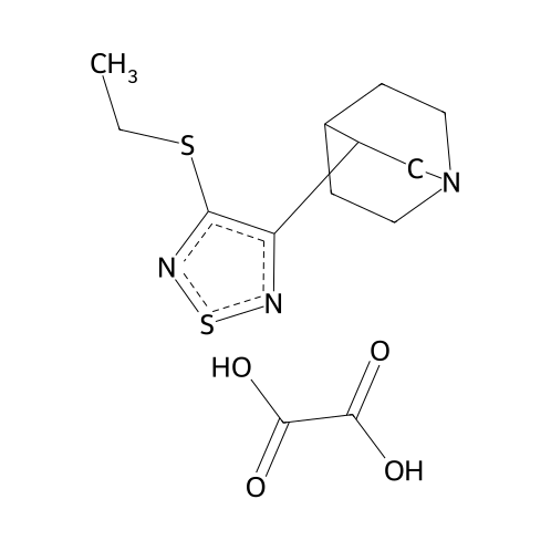 CCSc1nsnc1C1CN2CCC1CC2.O=C(O)C(=O)O